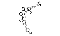 COc1nc(-c2cccc(-c3cccc(Nc4nccc5c4CC=C(CCC4CCC(C(C)F)CC4)S5)c3Cl)c2Cl)ccc1CNC[C@@H]1CCC(=O)N1